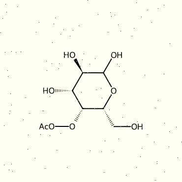 CC(=O)OO[C@@H]1[C@H](O)[C@@H](O)C(O)O[C@@H]1CO